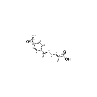 C/C(=C\CCN(C)c1ccc([N+](=O)[O-])cc1)C(=O)O